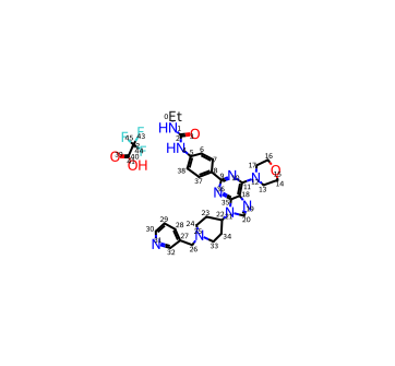 CCNC(=O)Nc1ccc(-c2nc(N3CCOCC3)c3ncn(C4CCN(Cc5cccnc5)CC4)c3n2)cc1.O=C(O)C(F)(F)F